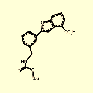 CC(C)(C)OC(=O)NCc1cccc(-c2cc3c(C(=O)O)cccc3o2)c1